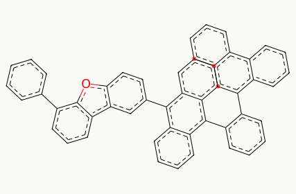 c1ccc(-c2cccc3c2oc2ccc(-c4c5ccccc5c(-c5ccccc5-c5cc6ccccc6c6ccccc56)c5ccccc45)cc23)cc1